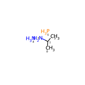 CC(C)N.N.P